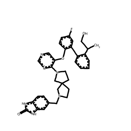 CC(CO)c1ccccc1-c1cc(F)ccc1Oc1cncnc1N1CCC2(CCN(Cc3ccc4[nH]c(=O)[nH]c4c3)C2)C1